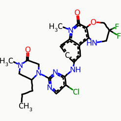 CCCC1CN(C)C(=O)CN1c1ncc(Cl)c(Nc2ccc3c(c2)c2c(c(=O)n3C)OCC(F)(F)CN2)n1